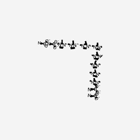 Cc1n(C)cc[n+]1C.Cc1n(C)cc[n+]1C.Cc1n(C)cc[n+]1C.Cc1n(C)cc[n+]1C.Cc1n(C)cc[n+]1C.Cc1n(C)cc[n+]1C.Cc1n(C)cc[n+]1C.Cc1n(C)cc[n+]1C.N#CB([O-])[O-].N#CB([O-])[O-].N#CB([O-])[O-].N#CB([O-])[O-]